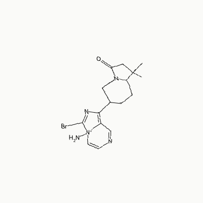 CC1(C)CC(=O)N2CC(C3=C4C=NC=C[N+]4(N)C(Br)=N3)CCC21